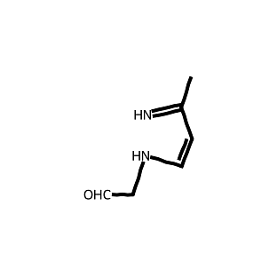 CC(=N)/C=C\NCC=O